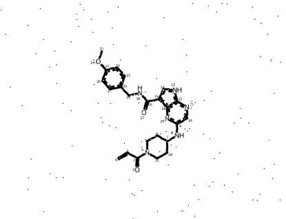 C=CC(=O)N1CCC(Nc2cnc3[nH]cc(C(=O)NCc4ccc(OC)cc4)c3n2)CC1